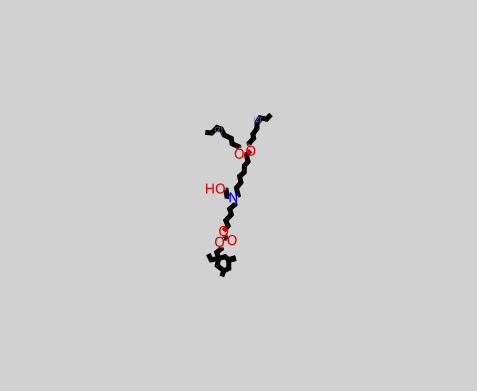 C=C1CC(C)CC(CC)(CCOC(=O)OCCCCCN(CCO)CCCCCCCC(OCCCC/C=C\CC)OCCCC/C=C\CC)C1